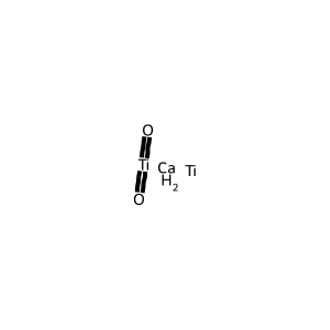 [CaH2].[O]=[Ti]=[O].[Ti]